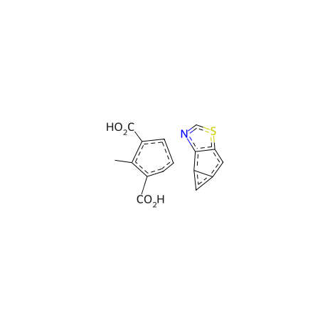 Cc1c(C(=O)O)cccc1C(=O)O.c1nc2c3cc-3cc2s1